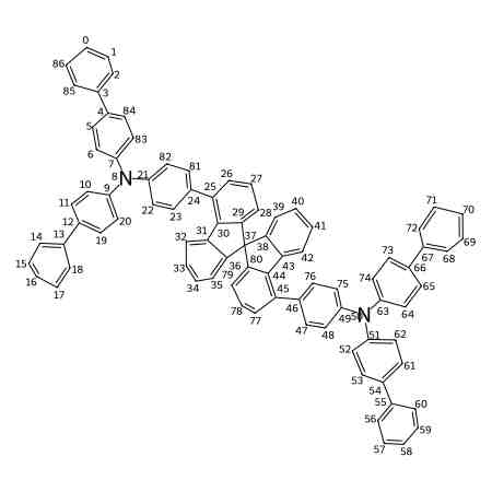 c1ccc(-c2ccc(N(c3ccc(-c4ccccc4)cc3)c3ccc(-c4cccc5c4-c4ccccc4C54c5ccccc5-c5c(-c6ccc(N(c7ccc(-c8ccccc8)cc7)c7ccc(-c8ccccc8)cc7)cc6)cccc54)cc3)cc2)cc1